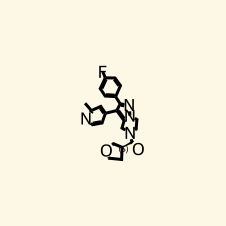 Cc1cc(-c2c(-c3ccc(F)cc3)nn3c2CN(C(=O)[C@H]2CCOC2)CC3)ccn1